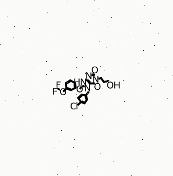 Cn1c2c(c(=O)n(CCCO)c1=O)N(Cc1ccc(Cl)cc1)C(Oc1cccc(OC(F)F)c1)N2